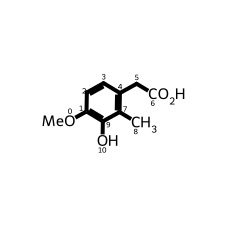 COc1ccc(CC(=O)O)c(C)c1O